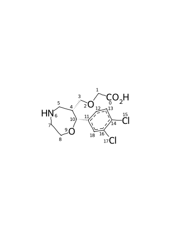 O=C(O)COC[C@H]1CNCCO[C@H]1c1ccc(Cl)c(Cl)c1